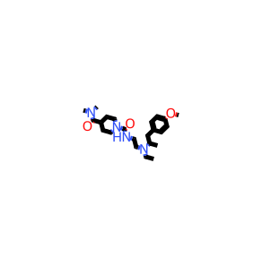 CCN(CCNC(=O)N1CCC(C(=O)N(C)C)CC1)C(C)Cc1ccc(OC)cc1